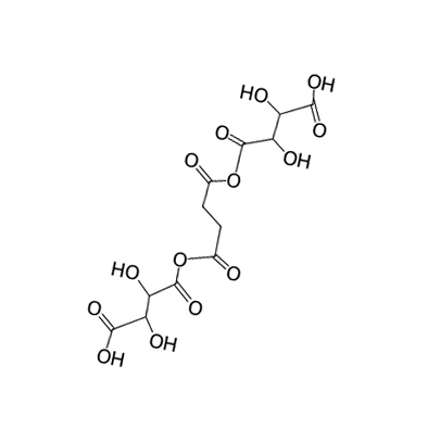 O=C(CCC(=O)OC(=O)C(O)C(O)C(=O)O)OC(=O)C(O)C(O)C(=O)O